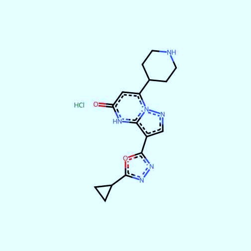 Cl.O=c1cc(C2CCNCC2)n2ncc(-c3nnc(C4CC4)o3)c2[nH]1